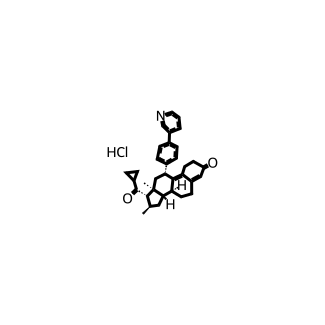 C[C@@H]1C[C@H]2[C@@H]3CCC4=CC(=O)CCC4=C3[C@@H](c3ccc(-c4cccnc4)cc3)C[C@]2(C)[C@H]1C(=O)C1CC1.Cl